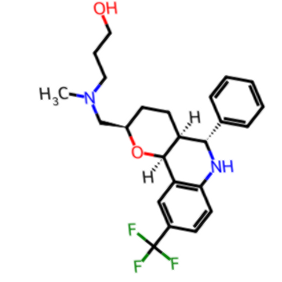 CN(CCCO)C[C@H]1CC[C@@H]2[C@H](O1)c1cc(C(F)(F)F)ccc1N[C@H]2c1ccccc1